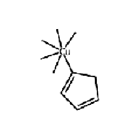 [CH3][Cu]([CH3])([CH3])([CH3])([CH3])[C]1=CC=CC1